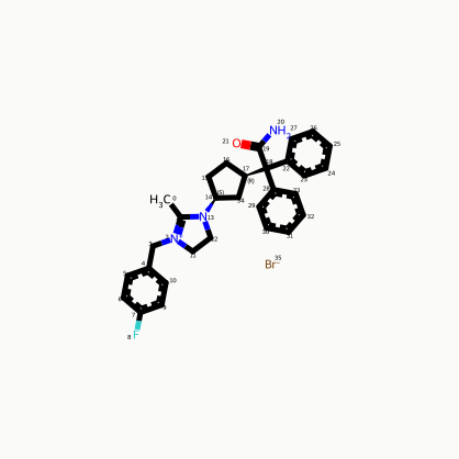 CC1=[N+](Cc2ccc(F)cc2)CCN1[C@H]1CC[C@@H](C(C(N)=O)(c2ccccc2)c2ccccc2)C1.[Br-]